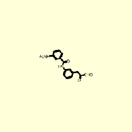 CC(=O)Nc1cccc(C(=O)Nc2cccc(CC(=O)C=O)c2)c1